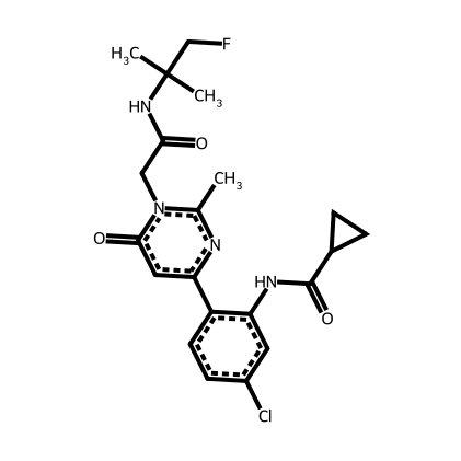 Cc1nc(-c2ccc(Cl)cc2NC(=O)C2CC2)cc(=O)n1CC(=O)NC(C)(C)CF